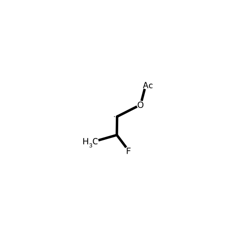 CC(=O)O[CH]C(C)F